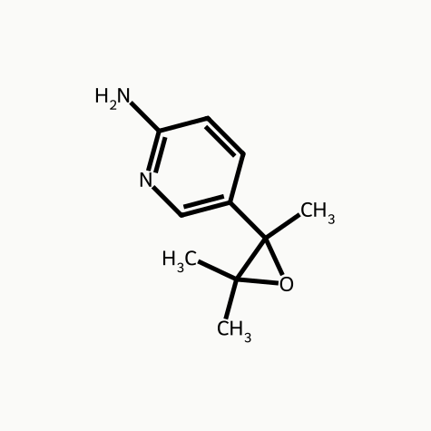 CC1(C)OC1(C)c1ccc(N)nc1